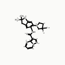 CC1(C)Cc2cc(NC(=O)c3cnn4cccnc34)c(N3CCC(F)(F)C3)cc2O1